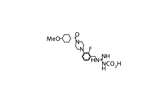 CO[C@H]1CC[C@H](C(=O)N2CCN(c3cccc(CNC(=N)NC(=O)O)c3F)CC2)CC1